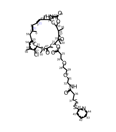 C/C1=C\C=C\C(C)C2(O)CC(OC(=O)N2)C(C)C2OC2(C)C(OC(=O)CCOCCOCCNC(=O)CCSSc2ccccn2)CC(=O)N(C)c2cc(cc(C)c2Cl)C1